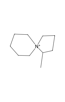 CC1CCC[N+]12CCCCC2